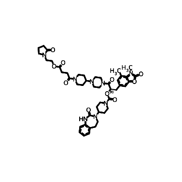 Cc1cc(C[C@@H](OC(=O)N2CCC(N3CCc4ccccc4NC3=O)CC2)C(=O)N2CCN(C3CCN(C(=O)CCC(=O)OCCN4CCCC4=O)CC3)CC2)cc2oc(=O)n(C)c12